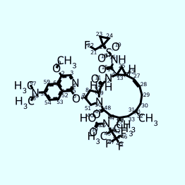 COc1cnc(O[C@@H]2C[C@H]3C(=O)N[C@]4(C(=O)NS(=O)(=O)C5(CF)CC5)C[C@H]4C=CCC[C@@H](C)C[C@@H](C)[C@H](N(C(=O)O)C(C)(C)C(F)(F)F)C(=O)N3C2)c2ccc(N(C)C)cc12